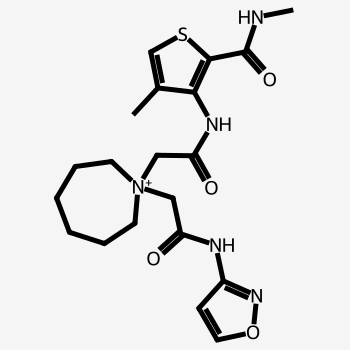 CNC(=O)c1scc(C)c1NC(=O)C[N+]1(CC(=O)Nc2ccon2)CCCCCC1